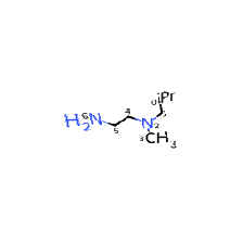 CC(C)CN(C)CCN